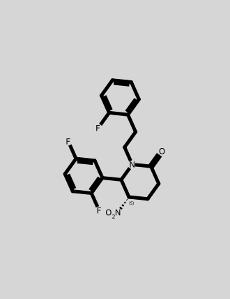 O=C1CC[C@H]([N+](=O)[O-])C(c2cc(F)ccc2F)N1CCc1ccccc1F